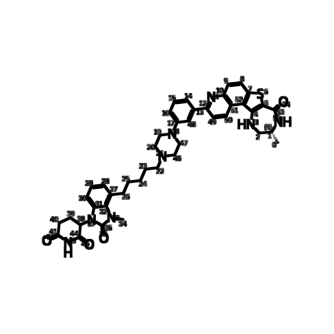 C[C@@H]1CNc2c(sc3ccc4nc(-c5cccc(N6CCN(CCCCCc7cccc8c7n(C)c(=O)n8C7CCC(=O)NC7=O)CC6)c5)ccc4c23)C(=O)N1